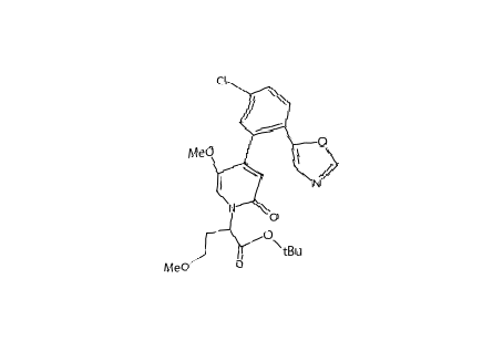 COCCC(C(=O)OC(C)(C)C)n1cc(OC)c(-c2cc(Cl)ccc2-c2cnco2)cc1=O